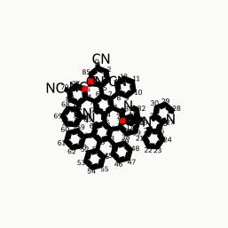 N#Cc1cc(C#N)c(-c2c(-c3ccccc3)c(-c3ccc(-n4c5ccccc5c5ncccc54)cn3)c3c4c(-c5ccccc5)c(-c5ccccc5)c(-c5ccccc5)c(-c5ccccc5)c4n(-c4ccccc4)c3c2-c2c(C#N)cc(C#N)cc2C#N)c(C#N)c1